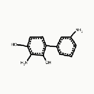 Nc1cccc(-c2ccc(O)c(N)c2O)c1